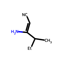 CCC(C)C(N)=CC#N